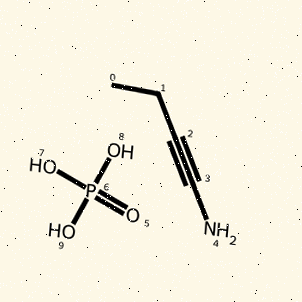 CCC#CN.O=P(O)(O)O